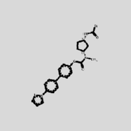 CCC(=O)N[C@H]1CC[C@@H](N(C)C(=O)Oc2ccc(-c3ccc(-n4cccn4)cc3)cc2)C1